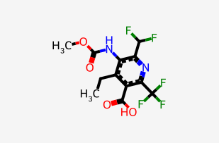 CCc1c(NC(=O)OC)c(C(F)F)nc(C(F)(F)F)c1C(=O)O